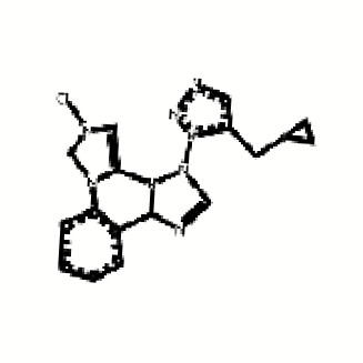 ClN1C=C2N(C1)c1ccccc1C1N=CN(n3nncc3CC3CC3)N21